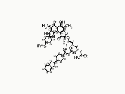 CCC(O)C[C@@H](CC/C=C/OC1(C)Oc2c(C)c(O)c3c(c2C1=O)C1=NC2(CCN(CC(C)C)CC2)NC1=C(N)C3=O)OC(=O)CC(=O)N1CCN(C2Cc3ccccc3C2)CC1